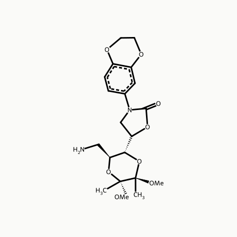 CO[C@]1(C)O[C@@H](CN)[C@H](C2CN(c3ccc4c(c3)OCCO4)C(=O)O2)O[C@@]1(C)OC